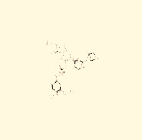 CCCNC(=O)N1CCN(c2ccnc(-n3ccnc3)n2)C(CC(=O)NCc2ccc(OC)c(OC)c2)C1